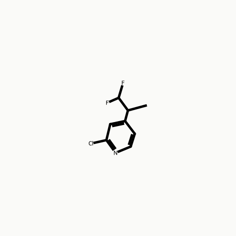 CC(c1ccnc(Cl)c1)C(F)F